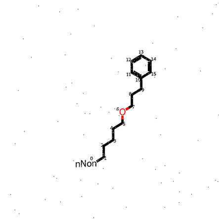 CCCCCCCCCCCCCCOCCCc1cc[c]cc1